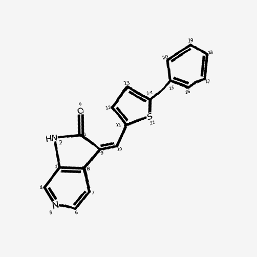 O=C1Nc2cnccc2C1=Cc1ccc(-c2ccccc2)s1